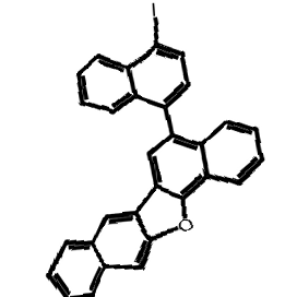 Ic1ccc(-c2cc3c4cc5ccccc5cc4oc3c3ccccc23)c2ccccc12